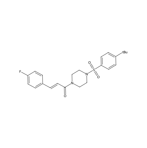 CC(C)(C)c1ccc(S(=O)(=O)N2CCN(C(=O)C=Cc3ccc(F)cc3)CC2)cc1